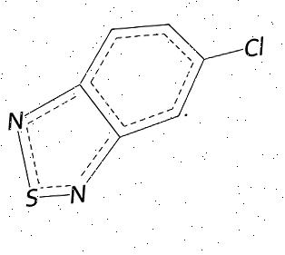 Clc1[c]c2nsnc2cc1